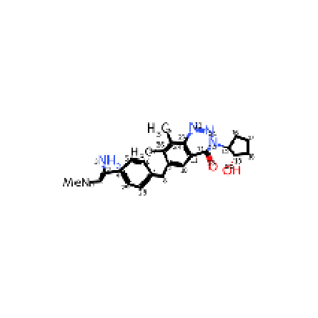 CN/C=C(\N)c1ccc(Cc2cc3c(=O)n([C@H]4CCC[C@@H]4O)nnc3c(C)c2C)cc1